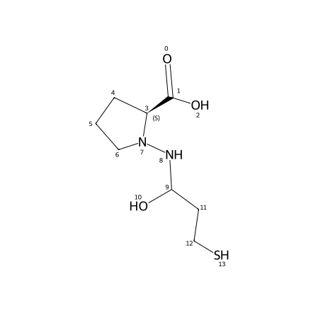 O=C(O)[C@@H]1CCCN1NC(O)CCS